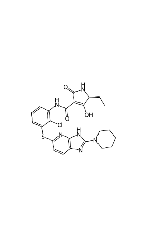 CC[C@@H]1NC(=O)C(C(=O)Nc2cccc(Sc3ccc4nc(N5CCCCC5)[nH]c4n3)c2Cl)=C1O